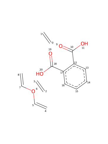 C=C.C=C.C=COC=C.O=C(O)c1ccccc1C(=O)O